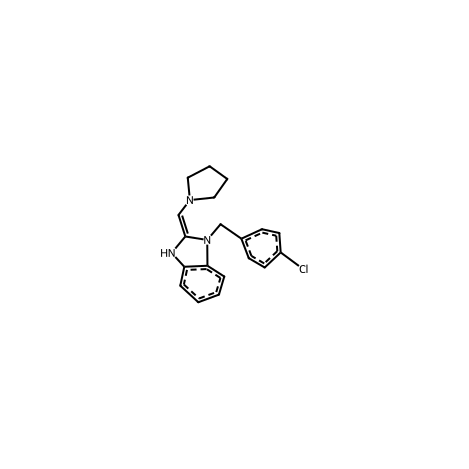 Clc1ccc(CN2C(=CN3CCCC3)Nc3ccccc32)cc1